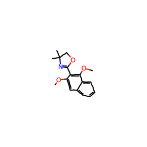 COc1cc2ccccc2c(OC)c1C1=NC(C)(C)CO1